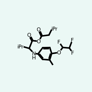 Cc1cc(NC(C(=O)OC(=O)CC(C)C)C(C)C)ccc1OC(F)C(F)F